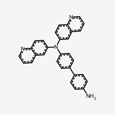 Nc1ccc(-c2ccc(N(c3ccc4ncccc4c3)c3ccc4ncccc4c3)cc2)cc1